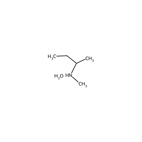 CCC(C)NC.O